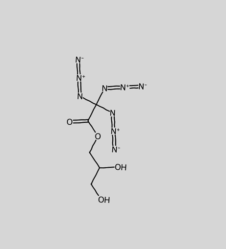 [N-]=[N+]=NC(N=[N+]=[N-])(N=[N+]=[N-])C(=O)OCC(O)CO